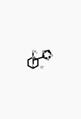 C[N+]12CCC(CC1)CC2c1ncon1.[Cl-]